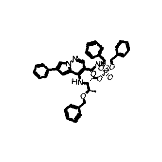 C[C@@H](OCc1ccccc1)[C@@H](COP(=O)(OCc1ccccc1)OCc1ccccc1)Nc1c(C(N)=O)cnn2cc(-c3ccccc3)cc12